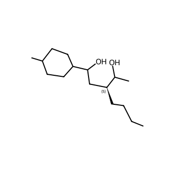 CCCC[C@@H](CC(O)C1CCC(C)CC1)C(C)O